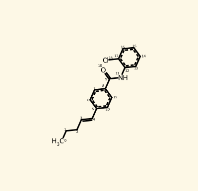 CCC/C=C/c1ccc(C(=O)Nc2ccccc2Cl)cc1